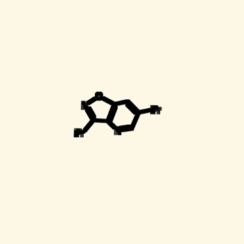 CC(C)c1cnc2c(C(C)C)noc2c1